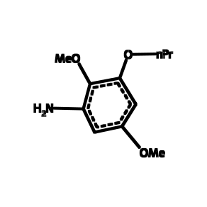 CCCOc1cc(OC)cc(N)c1OC